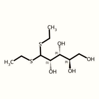 CCSC(SCC)[C@@H](O)[C@H](O)[C@H](O)CO